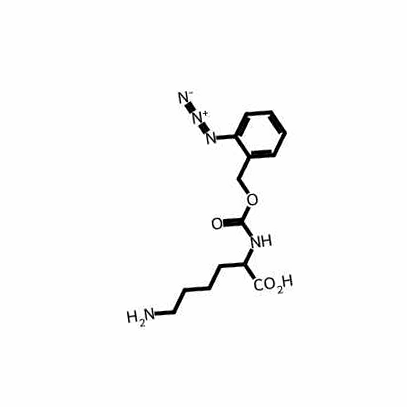 [N-]=[N+]=Nc1ccccc1COC(=O)NC(CCCCN)C(=O)O